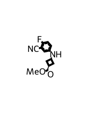 COC(=O)[C@H]1C[C@@H](Nc2ccc(F)c(C#N)c2)C1